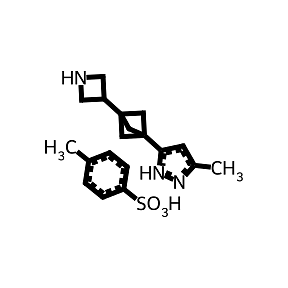 Cc1cc(C23CC(C4CNC4)(C2)C3)[nH]n1.Cc1ccc(S(=O)(=O)O)cc1